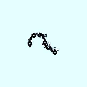 Cc1ccc(OCCc2ccc(CN3CCN(C(=O)C=Cc4cc(C)c(Oc5ccc(OCc6cccc(F)c6F)cn5)c(Cl)c4)CC3)cc2)cc1.Cl